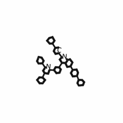 c1ccc(-c2ccc(-c3ccc4nc(-c5ccc(-c6ccccc6)cc5)cc(-c5cccc(-c6cc(-c7ccccc7)cc(-c7ccccc7)n6)c5)c4c3)cc2)cc1